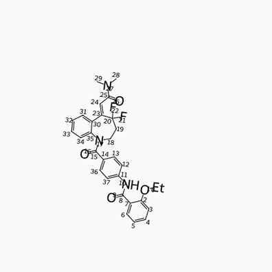 CCOc1ccccc1C(=O)Nc1ccc(C(=O)N2CCC(F)(F)C(=CC(=O)N(C)C)c3ccccc32)cc1